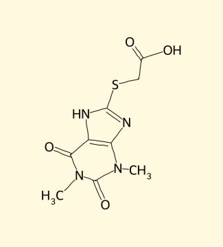 Cn1c(=O)c2[nH]c(SCC(=O)O)nc2n(C)c1=O